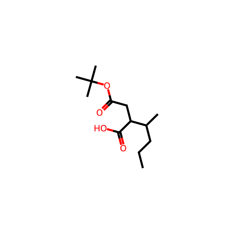 CCCC(C)C(CC(=O)OC(C)(C)C)C(=O)O